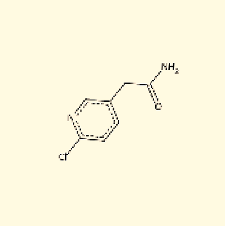 NC(=O)Cc1ccc(Cl)nc1